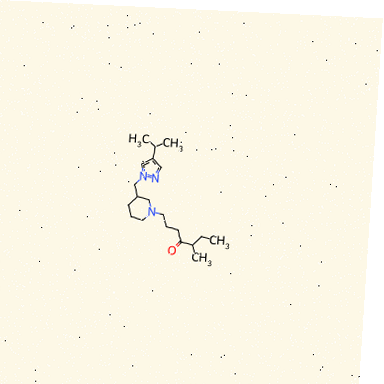 CCC(C)C(=O)CCCN1CCCC(Cn2cc(C(C)C)cn2)C1